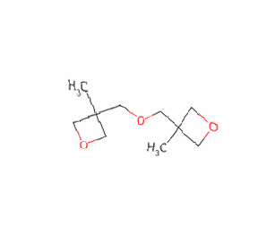 CC1(COCC2(C)COC2)COC1